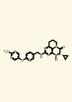 CCN1c2nc(NCc3ccc(Oc4cnc(C(F)(F)F)nc4)nc3)nc3c2N(CCC3)C(=O)[C@@H]1C1CC1